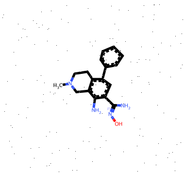 CN1CCc2c(-c3ccccc3)cc(/C(N)=N/O)c(N)c2C1